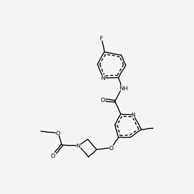 COC(=O)N1CC(Oc2cc(C)nc(C(=O)Nc3ccc(F)cn3)c2)C1